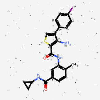 Cc1ccc(C(=O)NC2CC2)cc1NC(=O)c1scc(-c2ccc(I)cc2)c1N